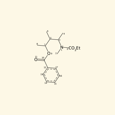 CCOC(=O)N(C)C(C)C(C)C(C)OC(=O)c1ccccc1